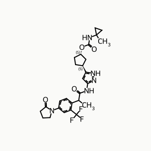 CC(C(=O)Nc1cc([C@H]2CC[C@H](OC(=O)NC3(C)CC3)C2)[nH]n1)c1ccc(N2CCCC2=O)cc1C(F)(F)F